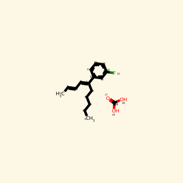 C/C=C/C=C(\CCCCC)c1cccc(F)c1.O=C(O)O